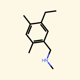 CCc1cc(CNC)c(C)cc1C